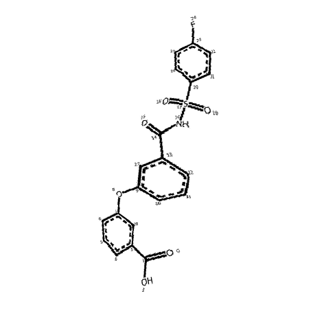 O=C(O)c1cccc(Oc2cccc(C(=O)NS(=O)(=O)c3ccc(F)cc3)c2)c1